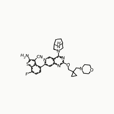 N#Cc1c(N)sc2c(F)ccc(-c3cc4nc(OCC5(CN6CCOCC6)CC5)nc(N5CC6CCC(C5)N6)c4cn3)c12